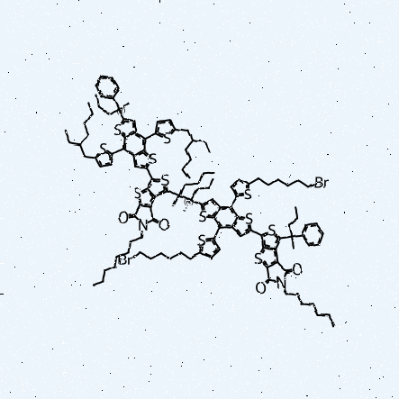 CCCCCCCCN1C(=O)c2sc3c(-c4cc5c(-c6ccc(CC(CC)CCCC)s6)c6sc([C@](C)(CCC)c7ccccc7)cc6c(-c6ccc(CC(CC)CCCC)s6)c5s4)sc(C(C)(CCCC)[C@@](C)(CCC)c4cc5c(-c6ccc(CCCCCCBr)s6)c6sc(-c7sc(C(C)(CCC)c8ccccc8)c8c9c(sc78)C(=O)N(CCCCCCC)C9=O)cc6c(-c6ccc(CCCCCCBr)s6)c5s4)c3c2C1=O